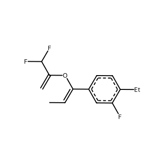 C=C(O/C(=C\C)c1ccc(CC)c(F)c1)C(F)F